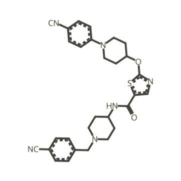 [C-]#[N+]c1ccc(N2CCC(Oc3ncc(C(=O)NC4CCN(Cc5ccc(C#N)cc5)CC4)s3)CC2)cc1